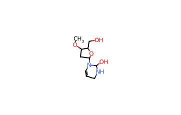 COC1CC(N2C=CCNC2O)OC1CO